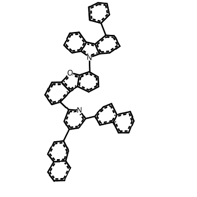 c1ccc(-c2cccc3c2c2ccccc2n3-c2cccc3c2oc2cccc(-c4cc(-c5ccc6ccccc6c5)cc(-c5ccc6ccccc6c5)n4)c23)cc1